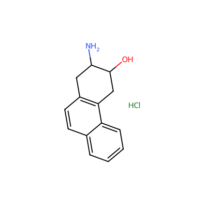 Cl.NC1Cc2ccc3ccccc3c2CC1O